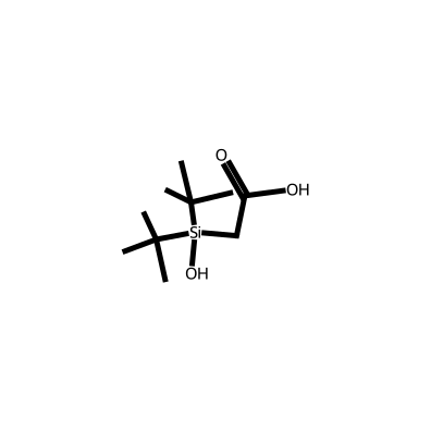 CC(C)(C)[Si](O)(CC(=O)O)C(C)(C)C